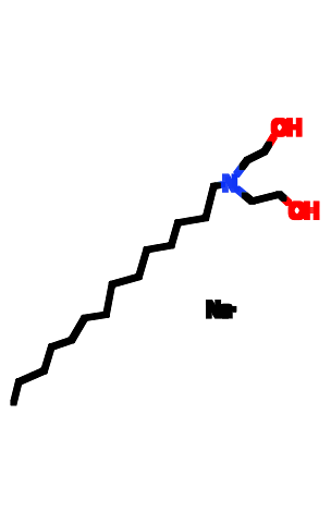 CCCCCCCCCCCCCCN(CCO)CCO.[Na]